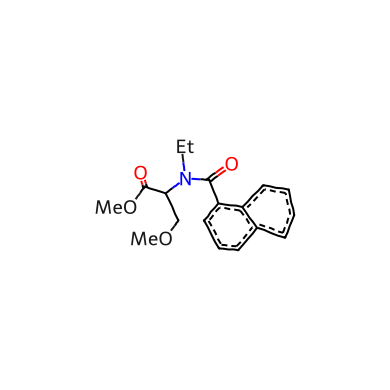 CCN(C(=O)c1cccc2ccccc12)C(COC)C(=O)OC